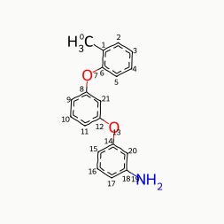 Cc1ccccc1Oc1cccc(Oc2cccc(N)c2)c1